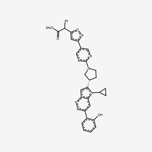 COC(=O)C(c1cc(-c2cnc(N3CC[C@H](c4cc5nnc(-c6ccccc6O)cc5n4C4CC4)C3)nc2)no1)C(C)C